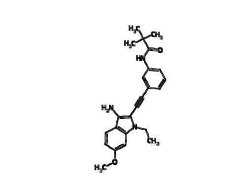 CCn1c(C#Cc2cccc(NC(=O)C(C)(C)C)c2)c(N)c2ccc(OC)cc21